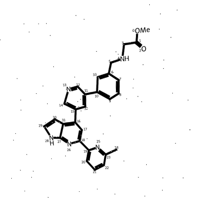 COC(=O)CNCc1cccc(-c2cncc(-c3cc(-c4cccc(C)n4)nc4[nH]ccc34)c2)c1